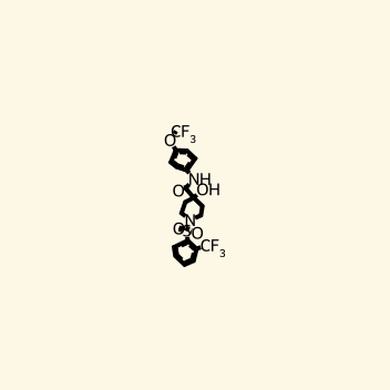 O=C(Nc1ccc(OC(F)(F)F)cc1)C1(O)CCN(S(=O)(=O)c2ccccc2C(F)(F)F)CC1